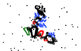 Cc1cnc(NC(=O)Nc2cc(Cl)ccc2OC[C@@H]2CNCCCO2)cn1